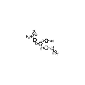 CC(C)(C)OC(=O)NCCC1CCN(C(=O)c2cc(Oc3ccc(C#N)cc3)cc(Oc3ccc(C(N)C(=O)OC(C)(C)C)cc3)c2)CC1